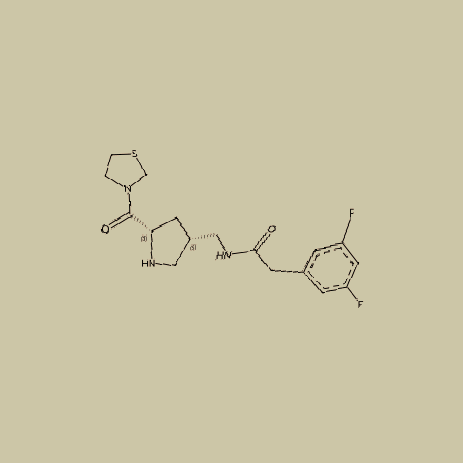 O=C(Cc1cc(F)cc(F)c1)NC[C@@H]1CN[C@H](C(=O)N2CCSC2)C1